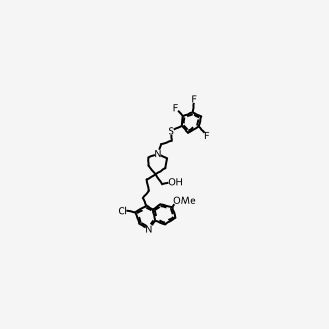 COc1ccc2ncc(Cl)c(CCCC3(CO)CCN(CCSc4cc(F)cc(F)c4F)CC3)c2c1